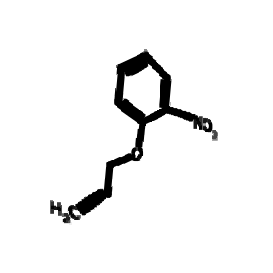 C=CCOc1cc[c]cc1[N+](=O)[O-]